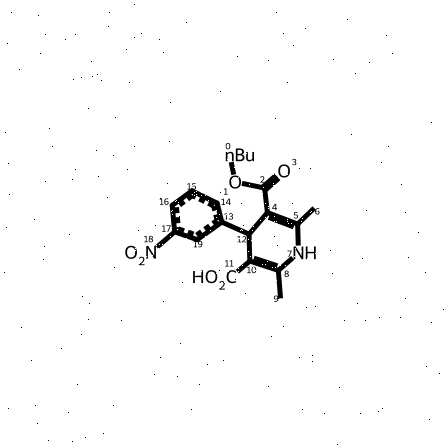 CCCCOC(=O)C1=C(C)NC(C)=C(C(=O)O)C1c1cccc([N+](=O)[O-])c1